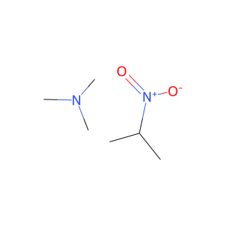 CC(C)[N+](=O)[O-].CN(C)C